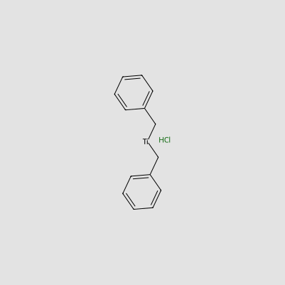 Cl.c1ccc([CH2][Ti][CH2]c2ccccc2)cc1